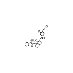 Cc1c(CNc2ccc(CCC=O)c(F)c2)ccc2c1N(CC(=O)NC1CCCCC1)CCC2